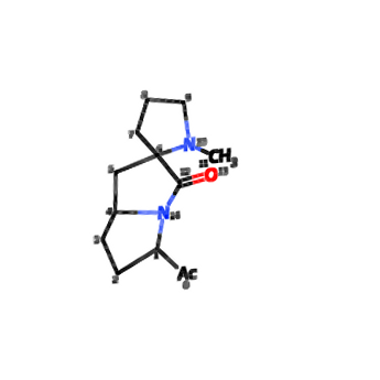 CC(=O)C1CCC2CC3(CCCN3C)C(=O)N21